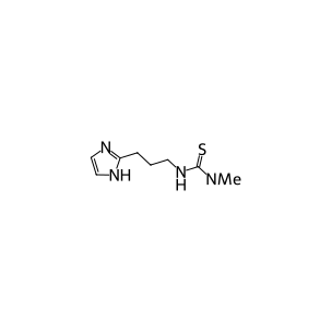 CNC(=S)NCCCc1ncc[nH]1